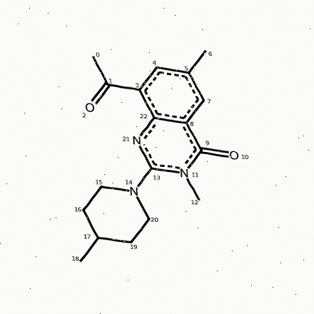 CC(=O)c1cc(C)cc2c(=O)n(C)c(N3CCC(C)CC3)nc12